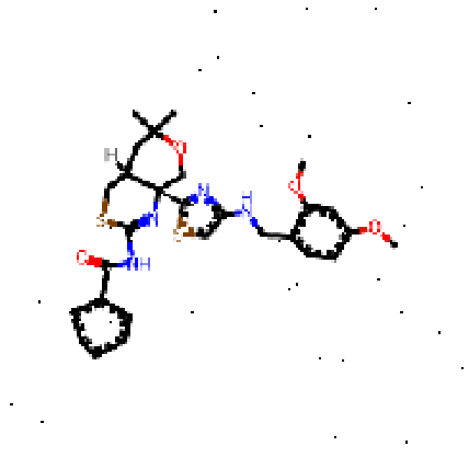 COc1ccc(CNc2csc([C@]34COC(C)(C)C[C@H]3CSC(NC(=O)c3ccccc3)=N4)n2)c(OC)c1